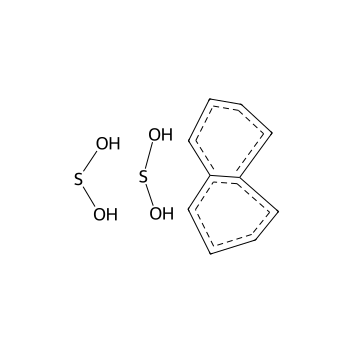 OSO.OSO.c1ccc2ccccc2c1